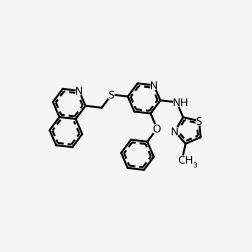 Cc1csc(Nc2ncc(SCc3nccc4ccccc34)cc2Oc2ccccc2)n1